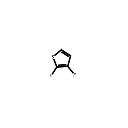 Fc1c[c]sc1F